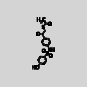 CC(=O)SCC(=O)c1ccc(NS(=O)(=O)c2ccc(O)cc2)cc1